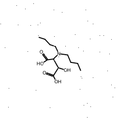 CCCCN(CCCC)C(C(=O)O)C(O)C(=O)O